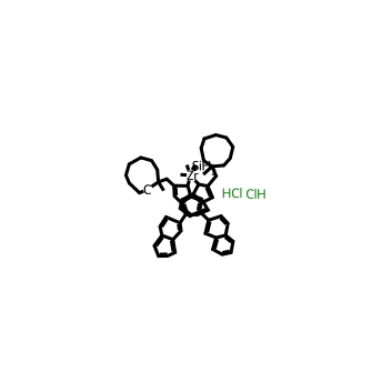 CC1(CC2=Cc3c(-c4ccc5ccccc5c4)cccc3[CH]2[Zr]([CH3])([CH3])(=[SiH2])[CH]2C(CC3(C)CCCCCCCC3)=Cc3c(-c4ccc5ccccc5c4)cccc32)CCCCCCCC1.Cl.Cl